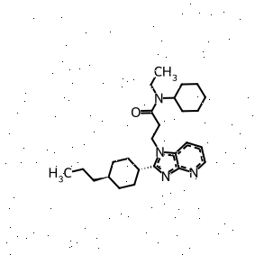 CCC[C@H]1CC[C@H](c2nc3ncccc3n2CCC(=O)N(CC)C2CCCCC2)CC1